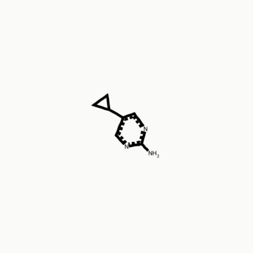 Nc1ncc(C2CC2)cn1